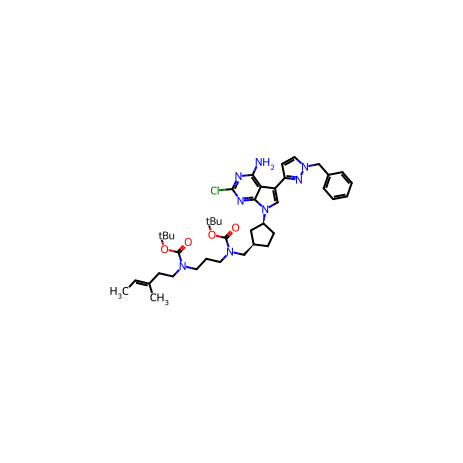 C/C=C(\C)CCN(CCCN(C[C@@H]1CC[C@H](n2cc(-c3ccn(Cc4ccccc4)n3)c3c(N)nc(Cl)nc32)C1)C(=O)OC(C)(C)C)C(=O)OC(C)(C)C